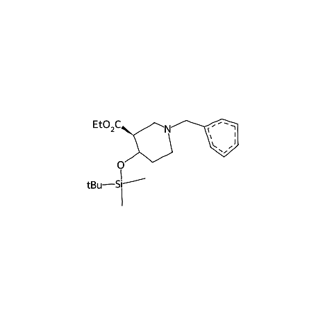 CCOC(=O)[C@H]1CN(Cc2ccccc2)CCC1O[Si](C)(C)C(C)(C)C